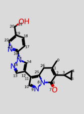 CC1=C(C2CC2)C(=O)n2ncc(-c3cnn(-c4ccc(CO)cn4)c3)c2C1